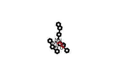 c1ccc(-c2nc(-c3ccc(-c4ccc5ccccc5c4)cc3)nc(-n3c4ccccc4c4ccc5c6ccccc6n(-c6cccc7nc(-c8ccccc8)oc67)c5c43)n2)cc1